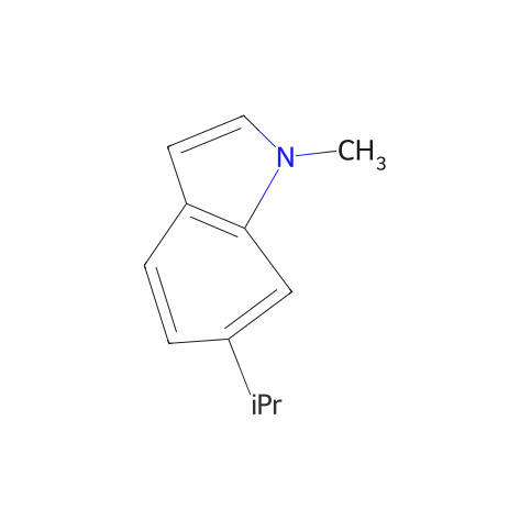 CC(C)c1ccc2ccn(C)c2c1